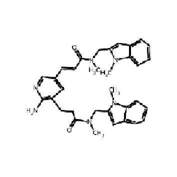 CN(Cc1cc2ccccc2n1C)C(=O)C=Cc1cnc(N)c(CCC(=O)N(C)Cc2cc3ccccc3n2C)c1